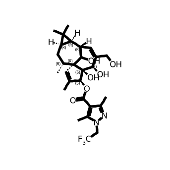 CC1=C[C@]23C(O)[C@@H](C=C(CO)[C@@H](O)[C@]2(O)[C@H]1OC(=O)c1c(C)nn(CC(F)(F)F)c1C)[C@H]1[C@@H](C[C@H]3C)C1(C)C